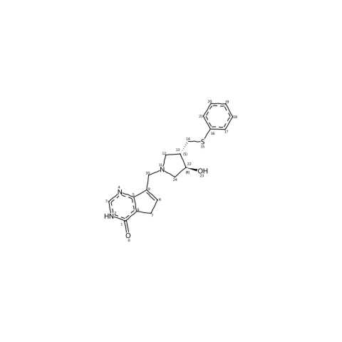 O=c1[nH]cnc2c1CC=C2CN1C[C@H](CSc2ccccc2)[C@@H](O)C1